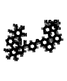 [2H]c1c([2H])c([2H])c(-c2cccc(-c3c([2H])c([2H])c([2H])c([2H])c3[2H])c2Nc2ccccc2Nc2cccc(Oc3cccc(N(c4cc(C(C)(C)C)ccn4)c4c(-c5ccccc5)cccc4-c4ccccc4)c3)c2)c([2H])c1[2H]